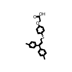 Cc1ccc(C(=CCSc2ccc(OCC(=O)O)cc2)c2ccc(C)cc2)cc1